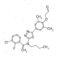 C=C(c1cccc(Cl)c1F)N(CCCC)c1nnc(-c2cc(C)c(OCC=O)c(C)c2)s1